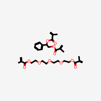 C=C(C)C(=O)OCC(OC(=O)C(=C)C)c1ccccc1.C=C(C)C(=O)OCCOCCOCCOCCOC(=O)C(=C)C